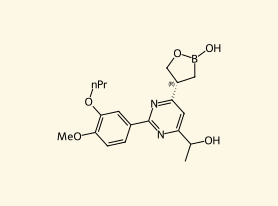 CCCOc1cc(-c2nc(C(C)O)cc([C@@H]3COB(O)C3)n2)ccc1OC